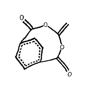 C=C1OC(=O)c2ccc(cc2)C(=O)O1